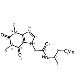 COCC(C)NC(=O)Cn1cnc2c1c(=O)n(C)c(=O)n2C